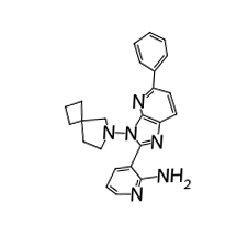 Nc1ncccc1-c1nc2ccc(-c3ccccc3)nc2n1N1CCC2(CCC2)C1